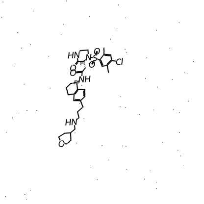 Cc1cc(S(=O)(=O)N2CCNC(=O)[C@H]2CC(=O)N[C@@H]2CCCc3cc(CCCNCC4CCOCC4)ccc32)c(C)cc1Cl